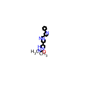 CNC(C)C(=O)N1CCC(c2ccn3c(-c4ccnc(-c5ccccc5)c4)cnc3c2)CC1